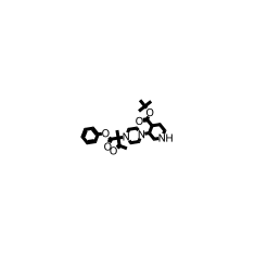 CC(=O)C(C)(C(=O)Oc1ccccc1)N1CCN(C2CNCCC2C(=O)OC(C)(C)C)CC1